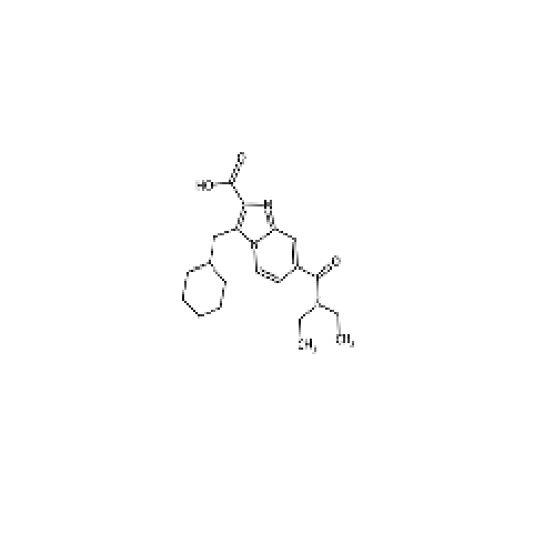 CCN(CC)C(=O)c1ccn2c(CC3CCCCC3)c(C(=O)O)nc2c1